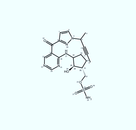 CC#CC(C)n1ccc(C(=O)c2cncnc2NC2CC[C@H](COS(N)(=O)=O)[C@H]2O)n1